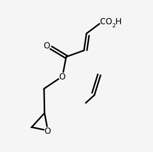 C=CC.O=C(O)C=CC(=O)OCC1CO1